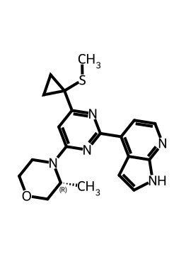 CSC1(c2cc(N3CCOC[C@H]3C)nc(-c3ccnc4[nH]ccc34)n2)CC1